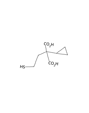 O=C(O)C(CCS)(C(=O)O)C1CC1